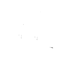 C=CCN(C)C(=O)[C@H](c1ccccc1)N1CCC[C@H](C)C1